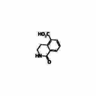 O=C(O)c1cccc2c1CCNC2=O